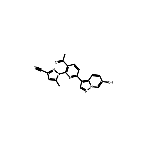 CC(=O)c1ccc(-c2cnn3cc(O)ccc23)nc1-n1nc(C#N)cc1C